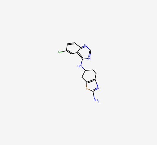 Nc1nc2c(s1)CC(Nc1ncnc3ccc(F)cc13)CC2